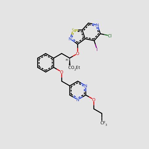 CCOC(=O)[C@@H](Cc1ccccc1OCc1cnc(OCCC(F)(F)F)nc1)Oc1nsc2cnc(Cl)c(I)c12